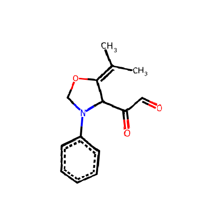 CC(C)=C1OCN(c2ccccc2)C1C(=O)C=O